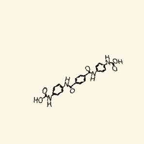 O=C(O)Nc1ccc(NC(=O)c2ccc(C(=O)Nc3ccc(NC(=O)O)cc3)cc2)cc1